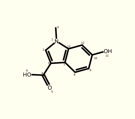 Cn1cc(C(=O)O)c2ccc(O)cc21